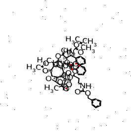 C=C(O[C@H]1C[C@]2(O)[C@H](C)C(=C1C)[C@@H](OC(C)=O)C(=O)[C@]13CC1C[C@H]1OC[C@@]1(OC(C)=O)[C@H]3[C@@H]2OC(=O)c1ccccc1)[C@H](OC(=O)COC(=O)CCNC(=O)OCc1ccccc1)[C@@H](NC(=O)OC(C)(C)C)c1ccccc1